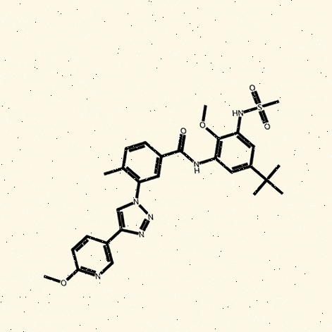 COc1ccc(-c2cn(-c3cc(C(=O)Nc4cc(C(C)(C)C)cc(NS(C)(=O)=O)c4OC)ccc3C)nn2)cn1